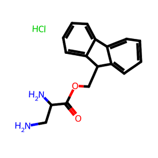 Cl.NCC(N)C(=O)OCC1c2ccccc2-c2ccccc21